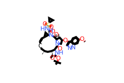 CC[C@@H]1C[C@H](C)CC/C=C\C2C[C@@]2(C(=O)NS(=O)(=O)C2CC2)NC(=O)[C@@H]2C[C@@H](Oc3cnnc4cc(OC)ccc34)CN2C(=O)[C@H]1NC(=O)OC(C)(C)C